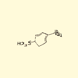 CCC(C)C1=CCC(S(=O)(=O)O)C=C1